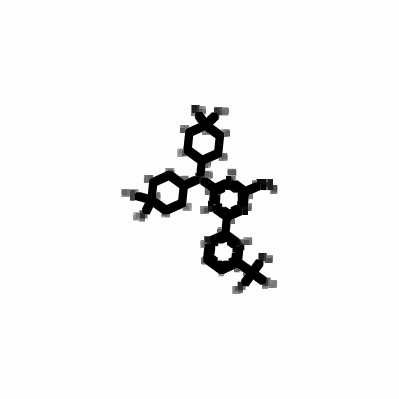 Nc1nc(-c2nccc(C(F)(F)F)n2)nc(N(C2CCC(F)(F)CC2)C2CCC(F)(F)CC2)n1